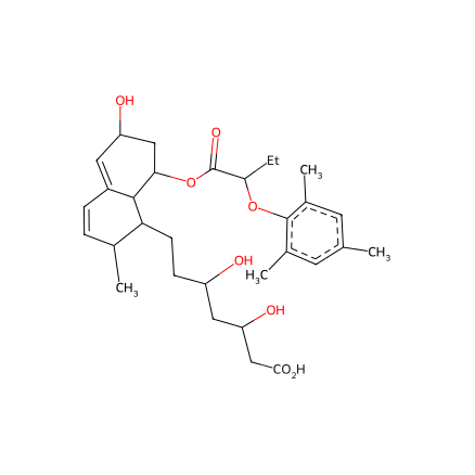 CCC(Oc1c(C)cc(C)cc1C)C(=O)OC1CC(O)C=C2C=CC(C)C(CCC(O)CC(O)CC(=O)O)C21